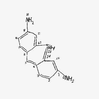 Nc1ccc2cc3ccc(N)cc3[siH]c2c1